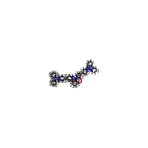 c1ccc2c(c1)c1ccccc1n2-c1ccc(-c2ccc3c(c2)Oc2cccc4c5cc(-c6ccc(-n7c8ccccc8c8ccccc87)cc6)ccc5n-3c24)cc1